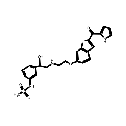 CS(=O)(=O)Nc1cccc(C(O)CNCCOc2ccc3cc(C(=O)c4ccc[nH]4)oc3c2)c1